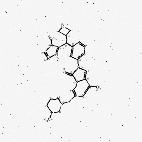 C[C@H]1CCCN(Cc2cc(C(F)(F)F)c3cn(-c4cccc(C(c5nncn5C)C5COC5)c4)c(=O)n3c2)C1